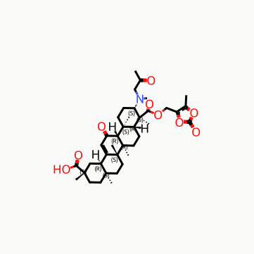 CC(=O)CN(C)[C@H]1CC[C@@]2(C)[C@@H](CC[C@]3(C)[C@@H]2C(=O)C=C2[C@@H]4C[C@@](C)(C(=O)O)CC[C@]4(C)CC[C@]23C)[C@]1(C)C(=O)OCc1oc(=O)oc1C